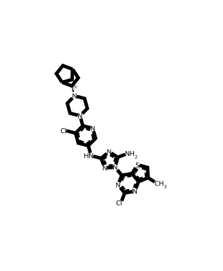 Cc1csc2c(-n3nc(Nc4cnc(N5CCN([C@H]6CC7CCC6C7)CC5)c(Cl)c4)nc3N)nc(Cl)nc12